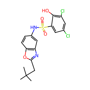 CC(C)(C)Cc1nc2cc(NS(=O)(=O)c3cc(Cl)cc(Cl)c3O)ccc2o1